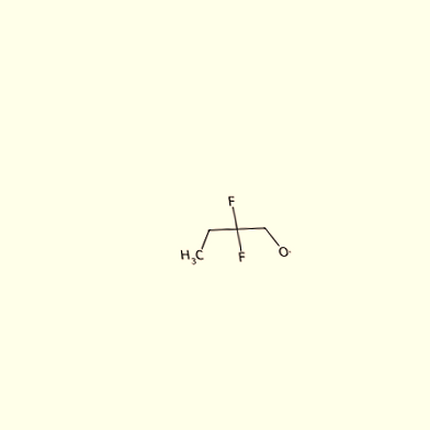 CCC(F)(F)C[O]